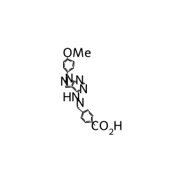 COc1ccc(-n2ncc3c(N/N=C/c4ccc(C(=O)O)cc4)ncnc32)cc1